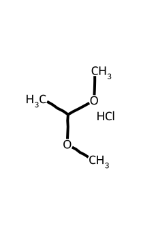 COC(C)OC.Cl